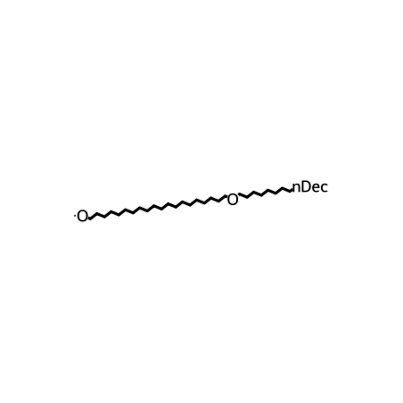 CCCCCCCCCCCCCCCCCCOCCCCCCCCCCCCCCCCCCCC[O]